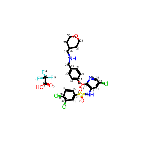 O=C(O)C(F)(F)F.O=S(=O)(Nc1cc(Cl)cnc1Oc1ccc(CNCC2CCOCC2)cc1)c1ccc(Cl)c(Cl)c1